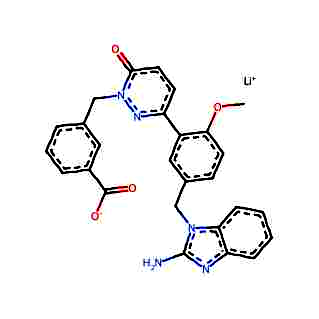 COc1ccc(Cn2c(N)nc3ccccc32)cc1-c1ccc(=O)n(Cc2cccc(C(=O)[O-])c2)n1.[Li+]